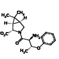 C[C@@H](Oc1ccccc1)[C@H](N)C(=O)N1C[C@H]2[C@@H]([C@H]1C(=O)O)C2(C)C